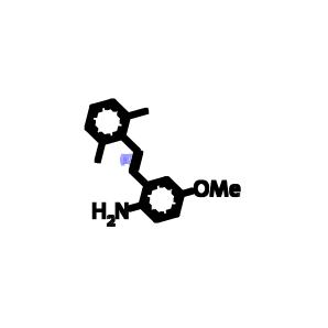 COc1ccc(N)c(/C=C/c2c(C)cccc2C)c1